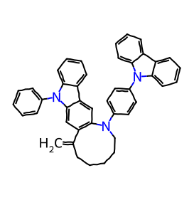 C=C1CCCCCN(c2ccc(-n3c4ccccc4c4ccccc43)cc2)c2cc3c4ccccc4n(-c4ccccc4)c3cc21